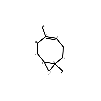 C/C1=C/CCC2(C)OC2CC1